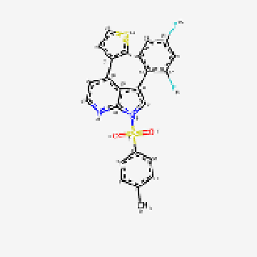 Cc1ccc(S(=O)(=O)n2cc(-c3ccc(F)cc3F)c3c(-c4ccsc4)ccnc32)cc1